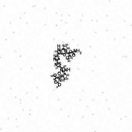 COC(=O)N[C@H](C(=O)N1CCC[C@H]1c1nc(-c2cnc(-c3ncc(-c4c[nH]c([C@@H]5CCCN5C(=O)[C@@H](OC(N)=O)[C@@H](C)OC)n4)s3)s2)c[nH]1)C(C)OC